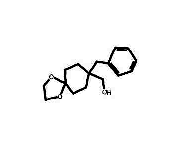 OCC1(Cc2ccccc2)CCC2(CC1)OCCO2